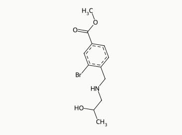 COC(=O)c1ccc(CNCC(C)O)c(Br)c1